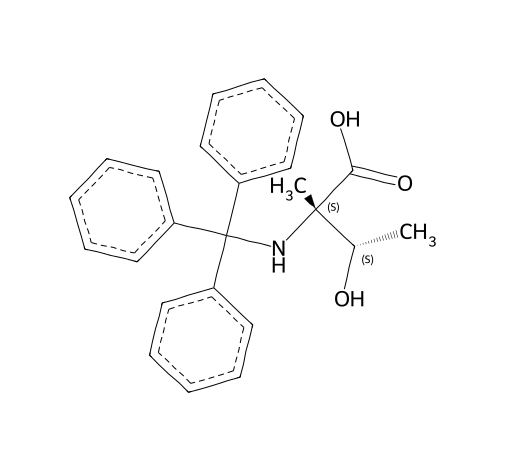 C[C@H](O)[C@](C)(NC(c1ccccc1)(c1ccccc1)c1ccccc1)C(=O)O